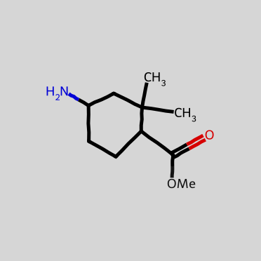 COC(=O)C1CCC(N)CC1(C)C